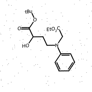 CCOC(=O)CN(CCC(O)C(=O)OC(C)(C)C)c1ccccc1